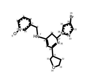 [O-][n+]1cccc(CNC2=CC(C3CCOC3)=NC(n3cc(Br)cn3)C2)c1